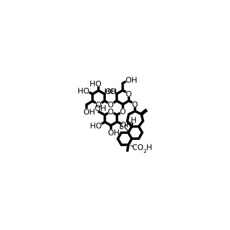 C=C1CC2CCC3[C@@](CC)(CCC[C@@]3(C)C(=O)O)[C@@H]2CCC1OC1OC(CO)C(O)C(OC2OC(CO)C(O)C(O)C2O)C1OC1OC(CO)C(O)C(O)C1O